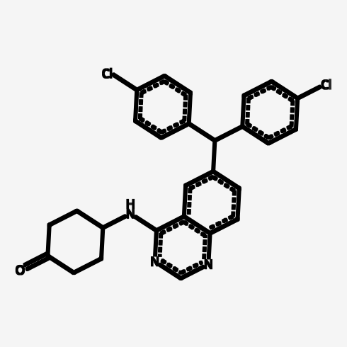 O=C1CCC(Nc2ncnc3ccc(C(c4ccc(Cl)cc4)c4ccc(Cl)cc4)cc23)CC1